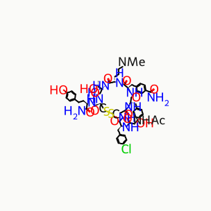 CNCCCC[C@@H]1NC(=O)[C@@H](Cc2ccc(C(N)=O)cc2)NC(=O)[C@H](Cc2ccc(O)cc2)NC(=O)[C@H](NC(=O)[C@H](Cc2ccc(Cl)cc2)NC(=O)CNC(C)=O)CSSC[C@@H](C(=O)N[C@H](CCc2ccc(O)cc2)C(N)=O)NC(=O)[C@H]([C@@H](C)O)NC1=O